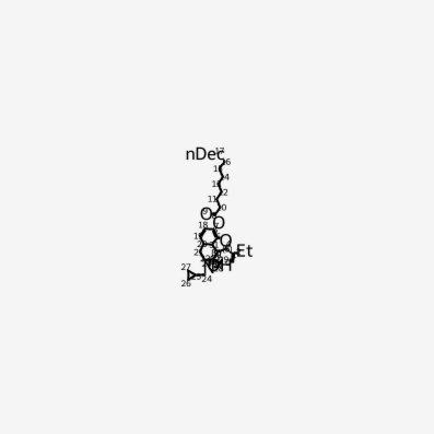 C=C(CC)[C@@H]1OC2=C(OC(=O)CCCCCCCCCCCCCCCCC)C=CC3CC4N(CC5CC5)CC[C@@]1(C23)[C@]4(C)O